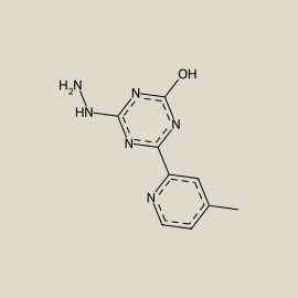 Cc1ccnc(-c2nc(O)nc(NN)n2)c1